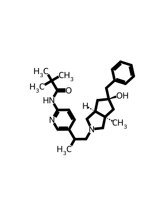 CC(CN1C[C@H]2C[C@](O)(Cc3ccccc3)C[C@@]2(C)C1)c1ccc(NC(=O)C(C)(C)C)nc1